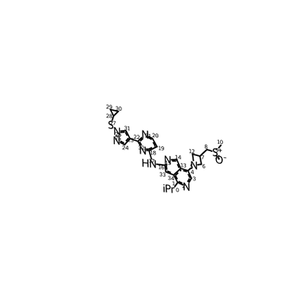 CC(C)c1ncc(N2CC(C[S+](C)[O-])C2)c2cnc(Nc3ccnc(-c4cnn(SC5CC5)c4)n3)cc12